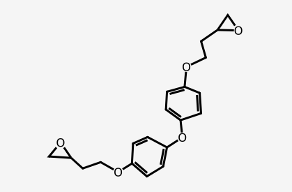 c1cc(Oc2ccc(OCCC3CO3)cc2)ccc1OCCC1CO1